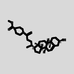 COC(=O)N1CCN(C(=S)CCC(C)[C@H]2CC[C@H]3[C@@H]4CC=C5C[C@@H](O)CC[C@]5(C)[C@H]4CC[C@]23C)CC1